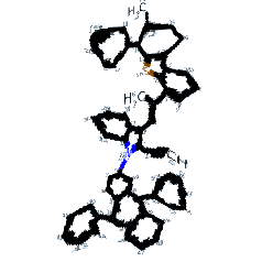 C#Cc1c(/C=C(\C)c2cccc3c4c(sc23)C(c2ccccc2)[C@@H](C)CC4)c2ccccc2n1-c1ccc2c(-c3ccccc3)c3ccccc3c(-c3ccccc3)c2c1